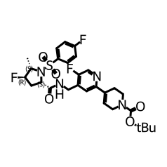 C[C@H]1[C@H](F)C[C@@H](C(=O)NCc2cc(C3=CCN(C(=O)OC(C)(C)C)CC3)ncc2F)N1S(=O)(=O)c1ccc(F)cc1